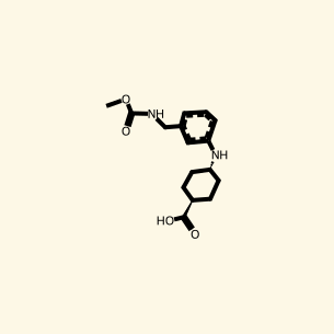 COC(=O)NCc1cccc(N[C@H]2CC[C@H](C(=O)O)CC2)c1